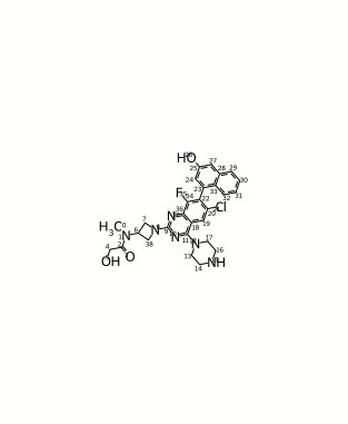 CN(C(=O)CO)C1CN(c2nc(N3CCNCC3)c3cc(Cl)c(-c4cc(O)cc5ccccc45)c(F)c3n2)C1